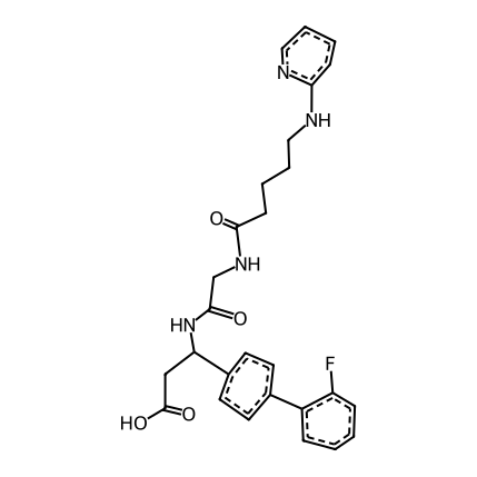 O=C(O)CC(NC(=O)CNC(=O)CCCCNc1ccccn1)c1ccc(-c2ccccc2F)cc1